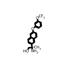 C[C@](N)(CO)c1ccc2cc(Oc3cccc(OC(F)(F)F)c3)ccc2c1